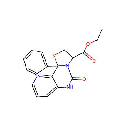 CCOC(=O)C1CSC2(c3ccccc3)c3ncccc3NC(=O)N12